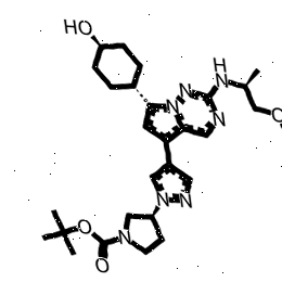 COC[C@H](C)Nc1ncc2c(-c3cnn([C@H]4CCN(C(=O)OC(C)(C)C)C4)c3)cc([C@H]3CC[C@H](O)CC3)n2n1